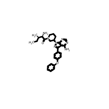 CC[C@@H](C)[C@@H](N)C(=O)N1CCCC(n2nc(-c3ccc(Oc4ccccc4)cc3)c3c(N)ncnc32)C1